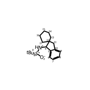 CC(C)(C)[S@@+]([O-])NC1c2ccccc2CC12CCCCC2